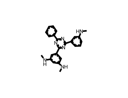 CNc1cccc(-c2nc(-c3ccccc3)nc(-c3cc(NC)cc(NC)c3)n2)c1